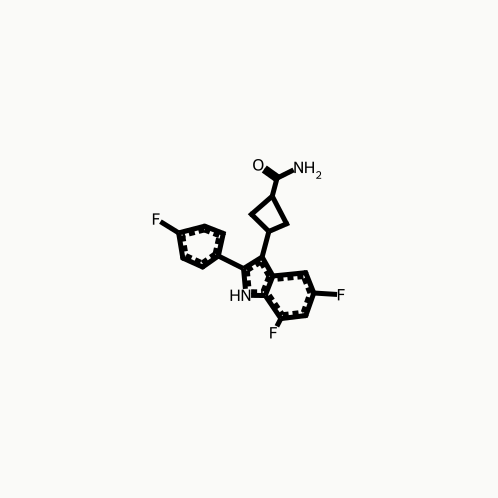 NC(=O)C1CC(c2c(-c3ccc(F)cc3)[nH]c3c(F)cc(F)cc23)C1